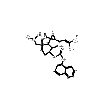 COC1C(OC(=O)Nc2cccc3ccccc23)CCC(O)(C[S+](C)C)C1C1(C)OC1CC=C(C)C.[I-]